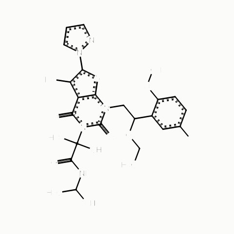 CCOC(Cn1c(=O)n(C(C)(C)C(=O)NC(C)C)c(=O)c2c(C)c(-n3cccn3)sc21)c1cc(F)ccc1OC